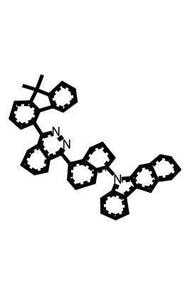 CC1(C)c2ccccc2-c2c(-c3nnc(-c4cccc5c(-n6c7ccccc7c7cc8ccccc8cc76)cccc45)c4ccccc34)cccc21